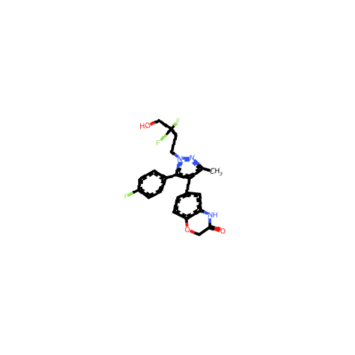 Cc1nn(CCC(F)(F)CO)c(-c2ccc(F)cc2)c1-c1ccc2c(c1)NC(=O)CO2